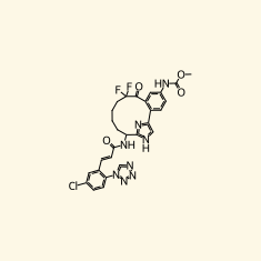 COC(=O)Nc1ccc2c(c1)C(=O)C(F)(F)CCCCC(NC(=O)/C=C/c1cc(Cl)ccc1-n1cnnn1)c1nc-2c[nH]1